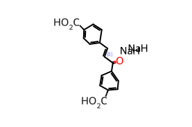 O=C(O)c1ccc(/C=C/C(=O)c2ccc(C(=O)O)cc2)cc1.[NaH].[NaH]